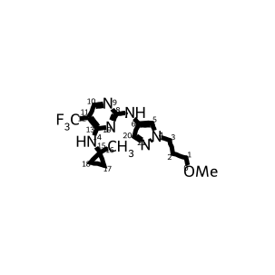 COCCCn1cc(Nc2ncc(C(F)(F)F)c(NC3(C)CC3)n2)cn1